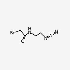 [N-]=[N+]=NCCNC(=O)CBr